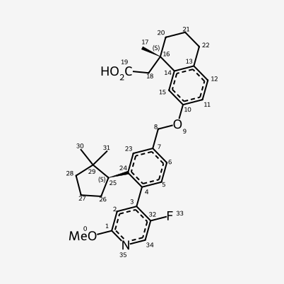 COc1cc(-c2ccc(COc3ccc4c(c3)[C@](C)(CC(=O)O)CCC4)cc2[C@H]2CCCC2(C)C)c(F)cn1